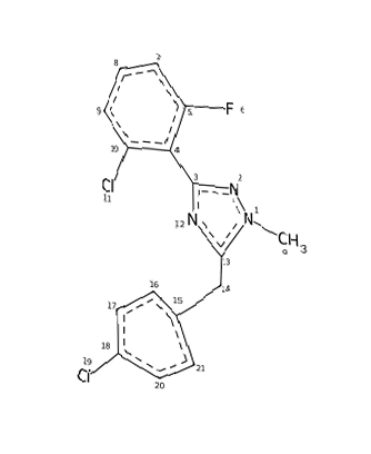 Cn1nc(-c2c(F)cccc2Cl)nc1Cc1ccc(Cl)cc1